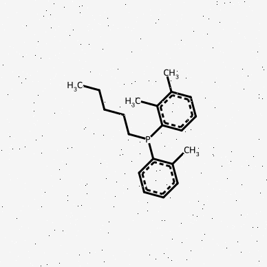 CCCCCP(c1ccccc1C)c1cccc(C)c1C